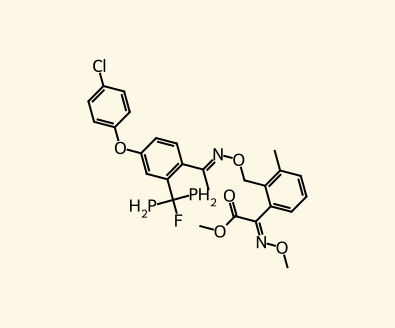 CO/N=C(/C(=O)OC)c1cccc(C)c1CO/N=C(\C)c1ccc(Oc2ccc(Cl)cc2)cc1C(F)(P)P